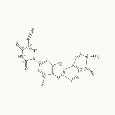 Cn1ccc2cc(Oc3c(Cl)cc(-n4nc(C#N)c(=O)[nH]c4=O)cc3Cl)ccc2c1=O